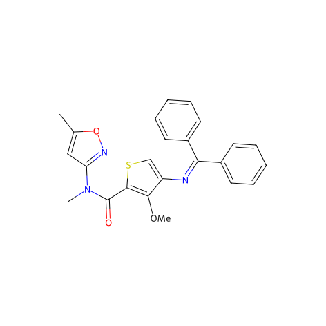 COc1c(N=C(c2ccccc2)c2ccccc2)csc1C(=O)N(C)c1cc(C)on1